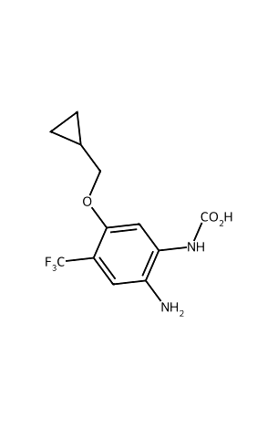 Nc1cc(C(F)(F)F)c(OCC2CC2)cc1NC(=O)O